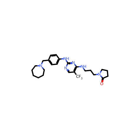 O=C1CCCN1CCCNc1nc(Nc2ccc(CN3CCCCCC3)cc2)ncc1C(F)(F)F